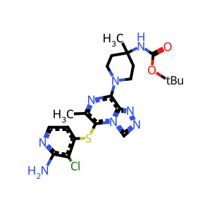 Cc1nc(N2CCC(C)(NC(=O)OC(C)(C)C)CC2)c2nncn2c1Sc1ccnc(N)c1Cl